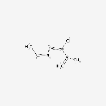 C=C(C)/C(Cl)=C\N=C/C